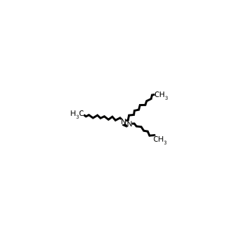 CCCCCCCCCCCN1C=CN(CCCCCCCC)C1CCCCCCCCCC